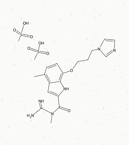 CS(=O)(=O)O.CS(=O)(=O)O.Cc1ccc(OCCCn2ccnc2)c2[nH]c(C(=O)N(C)C(=N)N)cc12